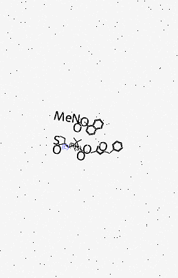 CC1(C)[C@H](/C=C2\CCSC2=O)[C@@H]1C(=O)OCc1coc(Cc2ccccc2)c1.CNC(=O)Oc1cccc2ccccc12